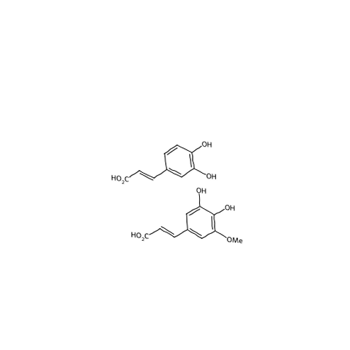 COc1cc(C=CC(=O)O)cc(O)c1O.O=C(O)C=Cc1ccc(O)c(O)c1